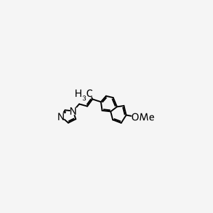 COc1ccc2cc(C(C)=CCn3ccnc3)ccc2c1